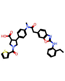 CCc1ccccc1Nc1nc2ccc(CC(=O)N(C)c3ccc(C4CN(C(=O)c5cccs5)CC4C(=O)O)cc3)cc2o1